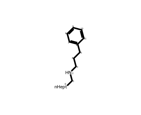 CCCCCCCCNCCCc1cc[c]cc1